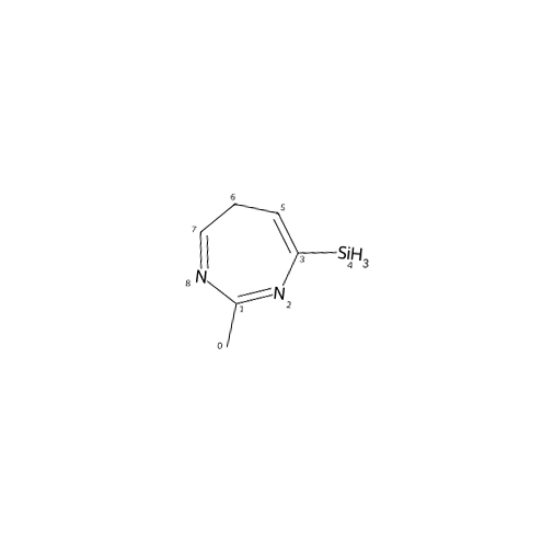 CC1=NC([SiH3])=CCC=N1